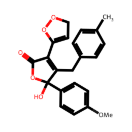 COc1ccc(C2(O)OC(=O)C(C3=CCOO3)=C2Cc2ccc(C)cc2)cc1